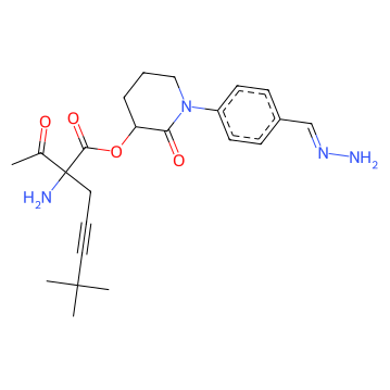 CC(=O)C(N)(CC#CC(C)(C)C)C(=O)OC1CCCN(c2ccc(C=NN)cc2)C1=O